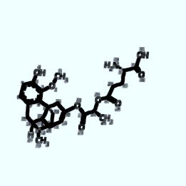 COc1c(O)ccc2c1[C@]13CCN(C)[C@H](C2)[C@]1(O)CC=C(OC(=O)[C@H](C)OC(=O)CC[C@H](N)C(=O)O)C3